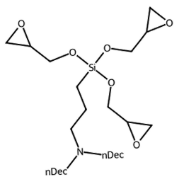 CCCCCCCCCCN(CCCCCCCCCC)CCC[Si](OCC1CO1)(OCC1CO1)OCC1CO1